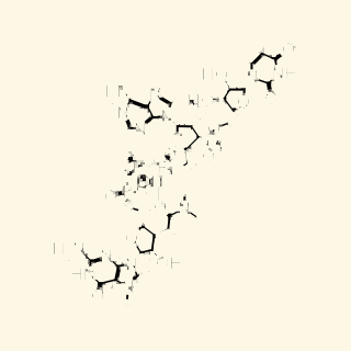 CO[C@@H]1[C@H](P(=O)([O-])OC[C@H]2O[C@@H](n3ccc(=O)[nH]c3=O)[C@H](O)[C@@H]2O)[C@@H](COP(=O)(O)OP(=O)(O)OP(=O)(O)SC[C@H]2O[C@@H](n3c[n+](C)c4c(=O)[nH]c(N)nc43)[C@H](O)[C@@H]2CC(=O)N(C)C)O[C@H]1n1cnc2c(N)ncnc21